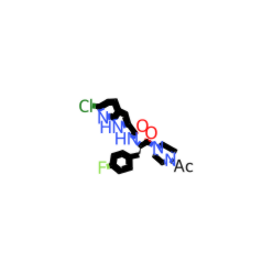 CC(=O)N1CCN(C(=O)[C@H](Cc2ccc(F)cc2)NC(=O)c2cc3ccc(Cl)nc3[nH]2)CC1